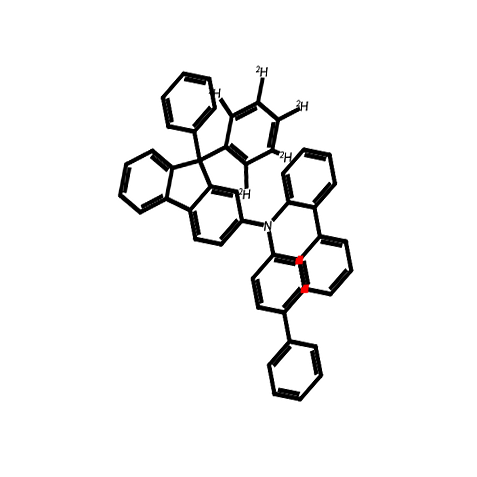 [2H]c1c([2H])c([2H])c(C2(c3ccccc3)c3ccccc3-c3ccc(N(c4ccc(-c5ccccc5)cc4)c4ccccc4-c4ccccc4)cc32)c([2H])c1[2H]